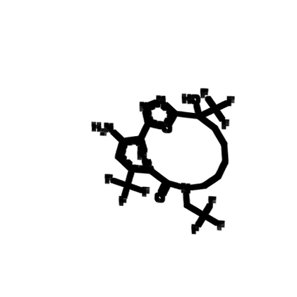 Nc1cc(C(F)(F)F)c2nc1-c1nnc(o1)C(O)(C(F)(F)F)CCCCCN(CC(F)(F)F)C2=O